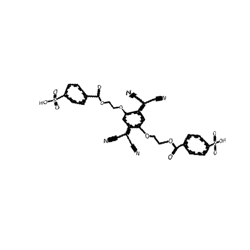 N#CC(C#N)=c1cc(OCCOC(=O)c2ccc(S(=O)(=O)O)cc2)c(=C(C#N)C#N)cc1OCCOC(=O)c1ccc(S(=O)(=O)O)cc1